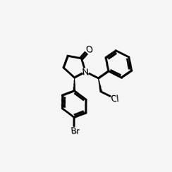 O=C1CC[C@H](c2ccc(Br)cc2)N1[C@H](CCl)c1ccccc1